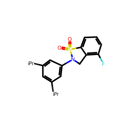 CC(C)c1cc(C(C)C)cc(N2Cc3c(F)cccc3S2(=O)=O)c1